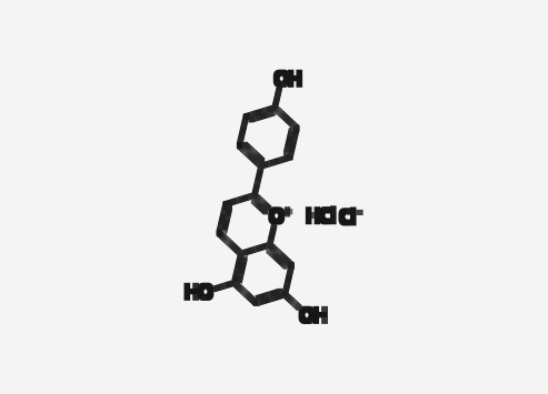 Cl.Oc1ccc(-c2ccc3c(O)cc(O)cc3[o+]2)cc1.[Cl-]